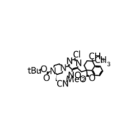 COC(=O)C1(Cc2nc(Cl)nc(N3CCN(C(=O)OC(C)(C)C)[C@@H](CC#N)C3)c2[N+](=O)[O-])CCC(C)(C)c2ccccc21